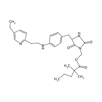 CCCC(C)(C)C(=O)OCN1C(=O)NC(Cc2ccc(BCCc3ccc(CC)cn3)cc2)C1=O